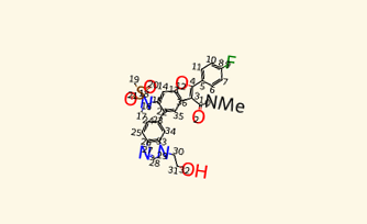 CNC(=O)c1c(-c2ccc(F)cc2)oc2cc(N(C)S(C)(=O)=O)c(-c3ccc4ncn(CCO)c4c3)cc12